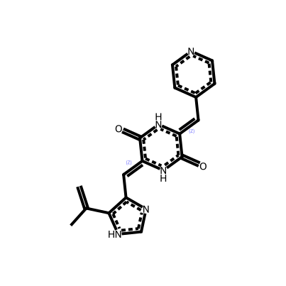 C=C(C)c1[nH]cnc1/C=c1\[nH]c(=O)/c(=C/c2ccncc2)[nH]c1=O